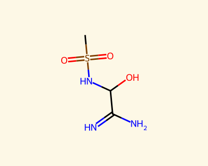 CS(=O)(=O)NC(O)C(=N)N